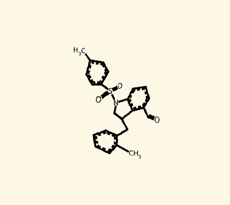 Cc1ccc(S(=O)(=O)N2CC(Cc3ccccc3C)c3c(C=O)cccc32)cc1